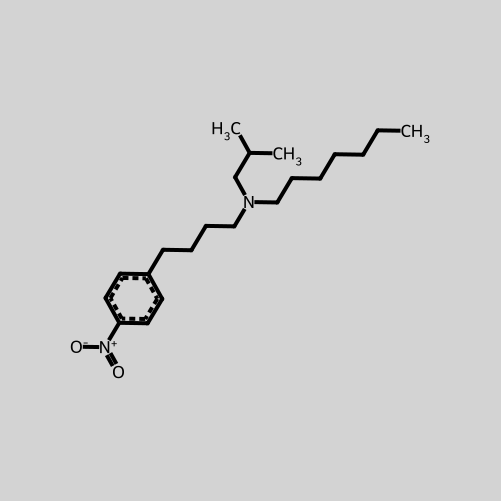 CCCCCCCN(CCCCc1ccc([N+](=O)[O-])cc1)CC(C)C